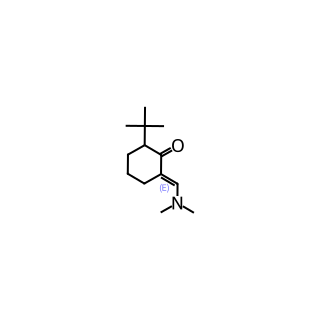 CN(C)/C=C1\CCCC(C(C)(C)C)C1=O